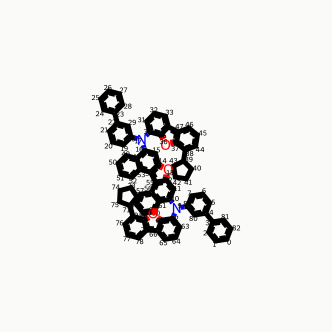 c1ccc(-c2cccc(N(c3cc4oc5cc(N(c6cccc(-c7ccccc7)c6)c6cccc7c6oc6c(C8CCCC8)cccc67)c6ccccc6c5c4c4ccccc34)c3cccc4c3oc3c(C5CCCC5)cccc34)c2)cc1